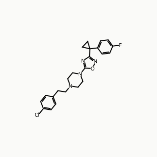 Fc1ccc(C2(c3noc(N4CCN(CCc5ccc(Cl)cc5)CC4)n3)CC2)cc1